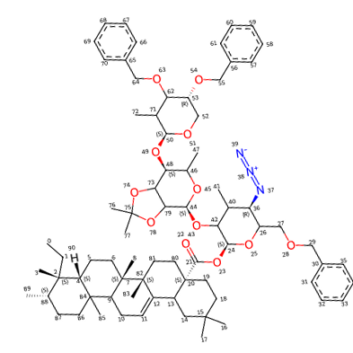 CC[C@]1(C)[C@@H]2CC[C@@]3(C)C(CC=C4C5CC(C)(C)CC[C@]5(C(=O)O[C@@H]5OC(COCc6ccccc6)[C@H](N=[N+]=[N-])C(C)C5O[C@@H]5OC(C)[C@H](O[C@@H]6OC[C@@H](OCc7ccccc7)C(OCc7ccccc7)C6C)C6OC(C)(C)OC65)CC[C@]43C)C2(C)CC[C@@H]1C